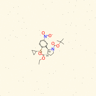 CCOC(=O)[C@H]1CCN(C(=O)OC(C)(C)C)[C@@H]1c1cc([N+](=O)[O-])ccc1SC1CC1